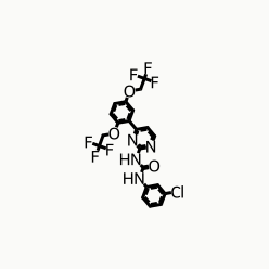 O=C(Nc1cccc(Cl)c1)Nc1nccc(-c2cc(OCC(F)(F)F)ccc2OCC(F)(F)F)n1